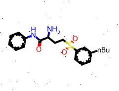 CCCCc1cccc(S(=O)(=O)CCC(N)C(=O)Nc2ccccc2)c1